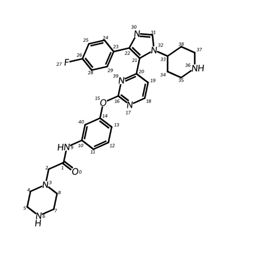 O=C(CN1CCNCC1)Nc1cccc(Oc2nccc(-c3c(-c4ccc(F)cc4)ncn3C3CCNCC3)n2)c1